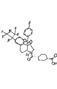 O=C(O)[C@H]1CC[C@H](C(=O)N2CC[C@]3(S(=O)(=O)c4ccc(F)cc4)c4ccc(C(F)(C(F)(F)F)C(F)(F)F)cc4CC[C@H]23)CC1